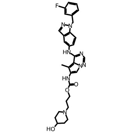 Cc1c(NC(=O)OCCCN2CCC(O)CC2)cn2ncnc(Nc3ccc4c(cnn4Cc4cccc(F)c4)c3)c12